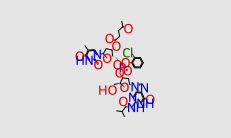 CC(=O)CCC(=O)O[C@H]1C[C@H](n2cc(C)c(=O)[nH]c2=O)O[C@H]1COP(=O)(Oc1ccccc1Cl)O[C@H]1C[C@H](n2cnc3c(=O)[nH]c(NC(=O)C(C)C)nc32)O[C@H]1CO